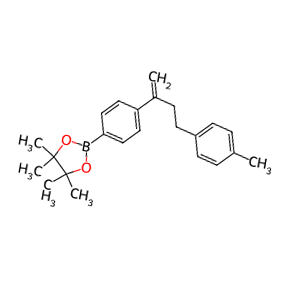 C=C(CCc1ccc(C)cc1)c1ccc(B2OC(C)(C)C(C)(C)O2)cc1